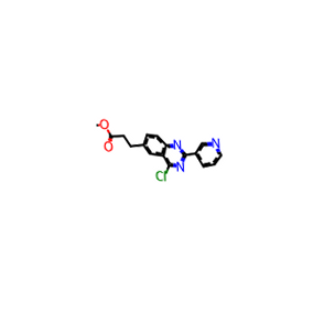 COC(=O)CCc1ccc2nc(-c3cccnc3)nc(Cl)c2c1